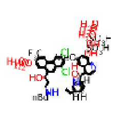 C=C[C@H]1C[N@]2CC[C@H]1C[C@H]2[C@H](O)c1ccnc2ccc(OC)cc12.CCCCNCCC(O)c1cc2c(Cl)cc(Cl)cc2c2cc(C(F)(F)F)ccc12.O.O.O.O.O.O.O.O=S(=O)(O)O.O=S(=O)(O)O